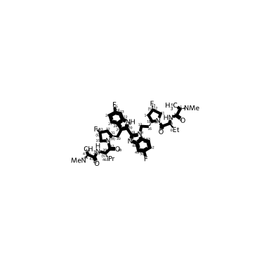 CC[C@H](NC(=O)[C@H](C)NC)C(=O)N1C[C@@H](F)C[C@H]1CCn1c(-c2[nH]c3cc(F)ccc3c2C[C@@H]2C[C@H](F)CN2C(=O)[C@@H](NC(=O)[C@H](C)NC)C(C)C)nc2cc(F)ccc21